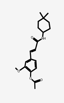 COc1cc(C=CC(=O)NC2CCC(C)(C)CC2)ccc1OC(C)=O